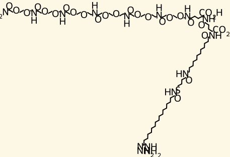 N/N=C(/CCCCCCCCCCCCCCCC(=O)NSCCCC(=O)NCCCCCCCCCCCC(=O)N[C@@H](CCC(=O)NC(CCC(=O)NCOCCOCC(=O)NCCOCCOCC(=O)NCCOCCOCC(=O)NCCOCCOCC(=O)NCOCCOCC(=O)NCOCCOCC(N)=O)C(=O)O)C(=O)O)NN